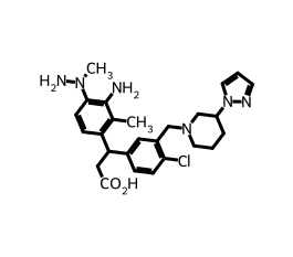 Cc1c(C(CC(=O)O)c2ccc(Cl)c(CN3CCCC(n4cccn4)C3)c2)ccc(N(C)N)c1N